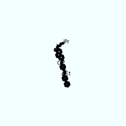 CCC(Oc1ccc(-c2ccccc2)cc1)[Si](C)(C)c1ccc(C(=O)OC2CC[C@@]3(C)C(=CCC4C3CC[C@@]3(C)C4CC[C@@H]3[C@H](C)CCCC(C)C)C2)cc1